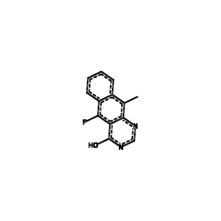 Cc1c2ccccc2c(F)c2c(O)ncnc12